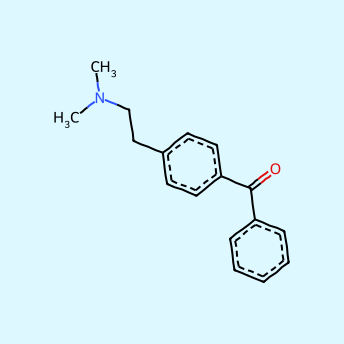 CN(C)CCc1ccc(C(=O)c2ccccc2)cc1